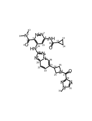 CN(I)C(=O)c1nnc(NC(=O)C2CC2)cc1Nc1nc2ccc(C3CN(C(=O)c4ncn(C)n4)C3)cn2n1